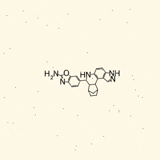 Nc1nc2ccc(C3Nc4ccc5[nH]ncc5c4C4C5CCC(C5)C34)cc2o1